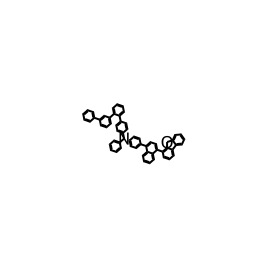 c1ccc(-c2cccc(-c3ccccc3-c3ccc(N(c4ccccc4)c4ccc(-c5ccc(-c6cccc7c6oc6ccccc67)c6ccccc56)cc4)cc3)c2)cc1